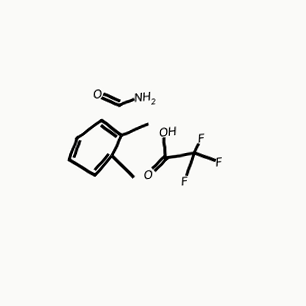 Cc1ccccc1C.NC=O.O=C(O)C(F)(F)F